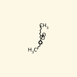 CCCCCCC1CC(c2ccc(CCCC)cc2)OC1=O